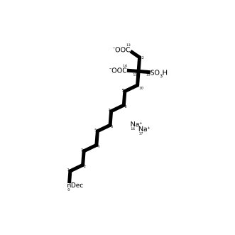 CCCCCCCCCCCCCCCCCCCCC(CC(=O)[O-])(C(=O)[O-])S(=O)(=O)O.[Na+].[Na+]